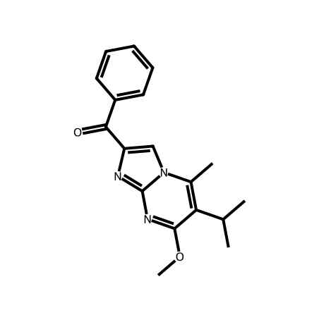 COc1nc2nc(C(=O)c3ccccc3)cn2c(C)c1C(C)C